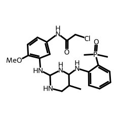 COc1ccc(NC(=O)CCl)cc1NC1NCC(C)C(Nc2ccccc2P(C)(C)=O)N1